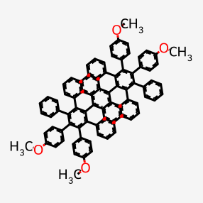 COc1ccc(-c2c(-c3ccccc3)c(-c3ccccc3)c(-c3c4ccccc4c(-c4c(-c5ccccc5)c(-c5ccccc5)c(-c5ccc(OC)cc5)c(-c5ccc(OC)cc5)c4-c4ccccc4)c4ccccc34)c(-c3ccccc3)c2-c2ccc(OC)cc2)cc1